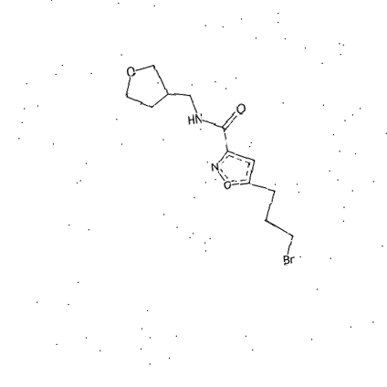 O=C(NCC1CCOC1)c1cc(CCCBr)on1